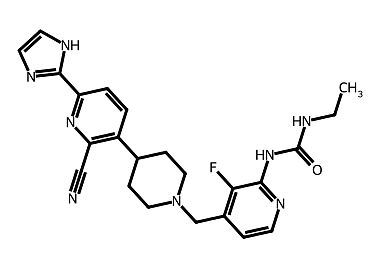 CCNC(=O)Nc1nccc(CN2CCC(c3ccc(-c4ncc[nH]4)nc3C#N)CC2)c1F